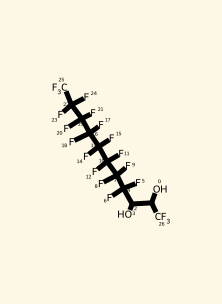 OC(C(O)C(F)(F)C(F)(F)C(F)(F)C(F)(F)C(F)(F)C(F)(F)C(F)(F)C(F)(F)F)C(F)(F)F